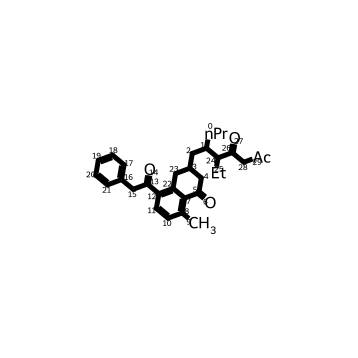 CCCC(CC1CC(=O)c2c(C)ccc(C(=O)Cc3ccccc3)c2C1)C(CC)C(=O)CC(C)=O